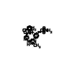 Cc1nc(Nc2ncc(C(=O)Nc3c(C)cccc3Cl)s2)cc(N2CCN(CCOS(N)(=O)=O)CC2)n1